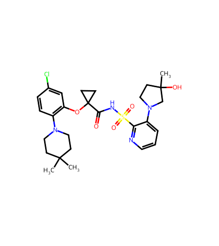 CC1(C)CCN(c2ccc(Cl)cc2OC2(C(=O)NS(=O)(=O)c3ncccc3N3CCC(C)(O)C3)CC2)CC1